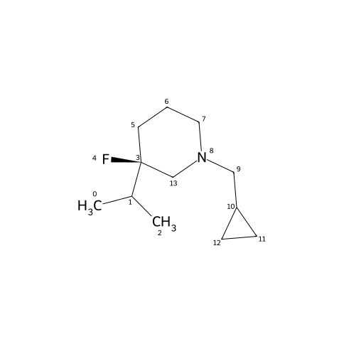 CC(C)[C@]1(F)CCCN(CC2CC2)C1